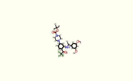 COc1cc(OC)cc(C(C)Nc2cc(N3CCN(C(=O)OC(C)(C)C)CC3)ccc2C(=O)C(F)(F)F)c1